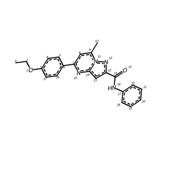 CCOc1ccc(-c2cc(C)n3nc(C(=O)Nc4ccccc4)cc3n2)cc1